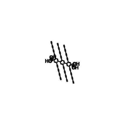 C#CC#CC#CC#Cc1cc(-c2cc(C#CC#CC#CC#C)c(-c3cc(C#CC#CC#CC#C)c(B(O)O)cc3C#CC#CC#CC#C)cc2C#CC#CC#CC#C)c(C#CC#CC#CC#C)cc1B(O)O